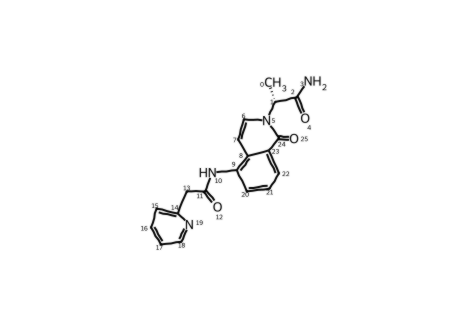 C[C@H](C(N)=O)n1ccc2c(NC(=O)Cc3ccccn3)cccc2c1=O